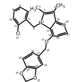 Cc1c(C)n(Cc2ccccc2Cl)c2c(OCc3ccc4c(c3)OCO4)ccnc12